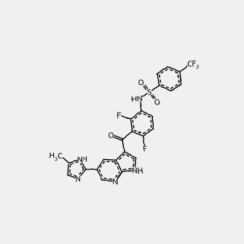 Cc1cnc(-c2cnc3[nH]cc(C(=O)c4c(F)ccc(NS(=O)(=O)c5ccc(C(F)(F)F)cc5)c4F)c3c2)[nH]1